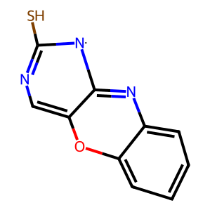 SC1=NC=C2Oc3ccccc3N=C2[N]1